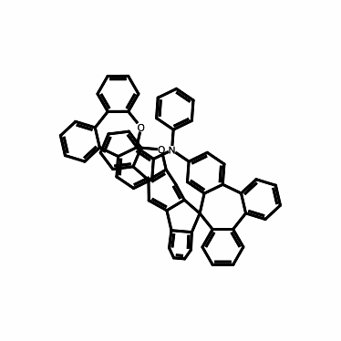 c1ccc(N(c2ccc3c(c2)C2(c4ccccc4-c4ccccc4-3)c3ccccc3-c3cc4c(cc32)oc2ccccc24)c2cccc3c2Oc2ccccc2-c2ccccc2-3)cc1